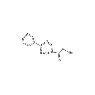 CC(C)(C)OC(=O)c1cnc(-c2ccccc2)nc1